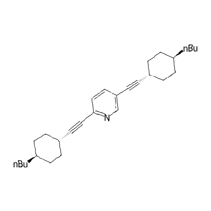 CCCC[C@H]1CC[C@H](C#Cc2ccc(C#C[C@H]3CC[C@H](CCCC)CC3)nc2)CC1